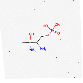 CC(N)(O)C(N)COP(=O)(O)O